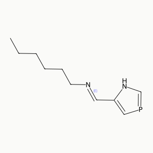 CCCCCC/N=C/c1cpc[nH]1